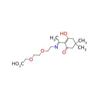 CC(=NCCOCCOCC(=O)O)C1=C(O)CC(C)(C)CC1=O